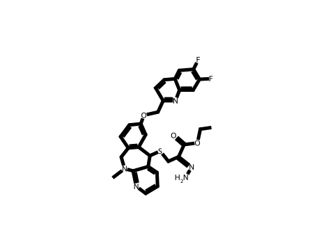 CCOC(=O)/C(CSC1c2cc(OCc3ccc4cc(F)c(F)cc4n3)ccc2CN(C)c2ncccc21)=N/N